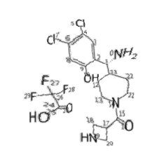 N[C@@H](c1cc(Cl)c(Cl)cc1O)C1CCN(C(=O)C2CNC2)CC1.O=C(O)C(F)(F)F